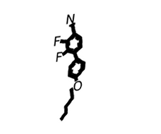 CCCCCOc1ccc(-c2ccc(C#N)c(F)c2F)cc1